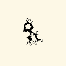 C=CN(/C(Cl)=C(\C)Cl)c1ccc(C)cc1